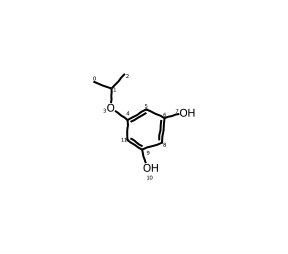 CC(C)Oc1cc(O)cc(O)c1